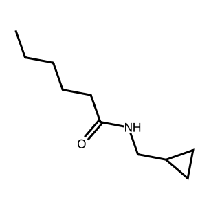 CCCCCC(=O)NCC1CC1